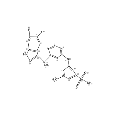 Cc1cc(Nc2nccc(N(C)c3n[nH]c4cc(F)c(F)cc34)n2)cc(S(N)(=O)=O)c1